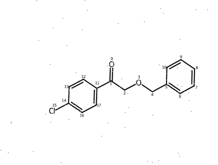 O=C(COCc1ccccc1)c1ccc(Cl)cc1